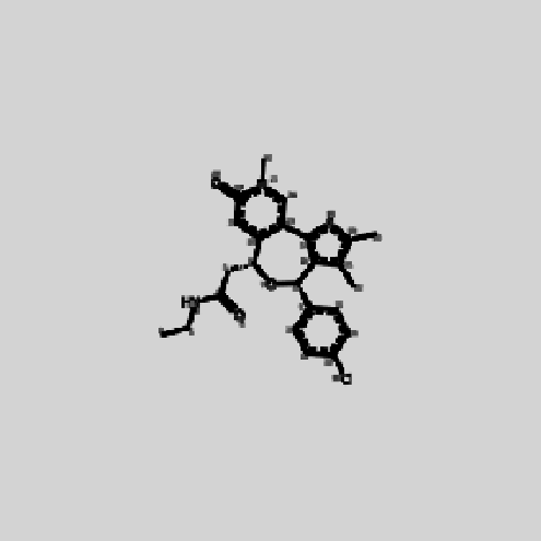 CCNC(=O)C[C@H]1O[C@H](c2ccc(Cl)cc2)c2c(sc(C)c2C)-c2cn(C)c(=O)cc21